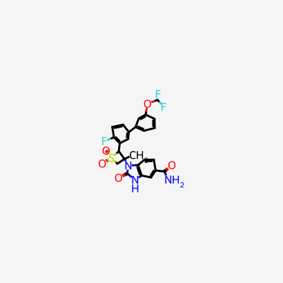 CC1(n2c(=O)[nH]c3cc(C(N)=O)ccc32)CS(=O)(=O)C1c1cc(-c2cccc(OC(F)F)c2)ccc1F